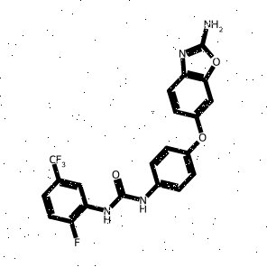 Nc1nc2ccc(Oc3ccc(NC(=O)Nc4cc(C(F)(F)F)ccc4F)cc3)cc2o1